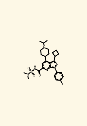 CC(C)N1CCC(c2cc(C(=O)NS(=O)(=O)N(C)C)nc3c2c(C2CCC2)nn3-c2ccc(F)cc2)CC1